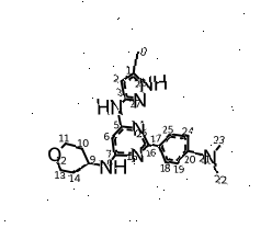 Cc1cc(Nc2cc(NC3CCOCC3)nc(-c3ccc(N(C)C)cc3)n2)n[nH]1